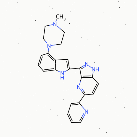 CN1CCN(c2cccc3[nH]c(-c4n[nH]c5ccc(-c6ccccn6)nc45)cc23)CC1